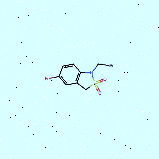 CC(C)CN1c2ccc(Br)cc2CS1(=O)=O